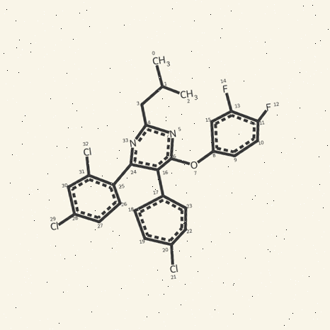 CC(C)Cc1nc(Oc2ccc(F)c(F)c2)c(-c2ccc(Cl)cc2)c(-c2ccc(Cl)cc2Cl)n1